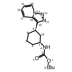 CC(C)(C)OC(=O)N[C@H]1CCC[C@@H](c2nnn3ccccc23)C1